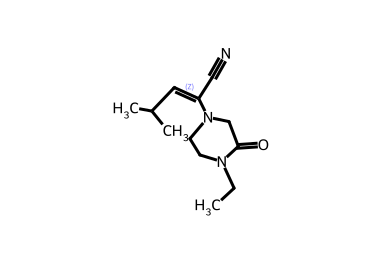 CCN1CCN(/C(C#N)=C\C(C)C)CC1=O